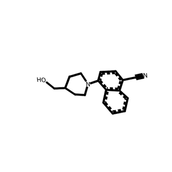 N#Cc1ccc(N2CCC(CO)CC2)c2ccccc12